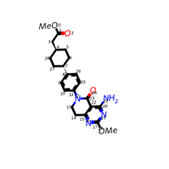 COC(=O)C[C@H]1CC[C@H](c2ccc(N3CCc4nc(OC)nc(N)c4C3=O)cc2)CC1